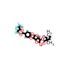 C/C=C\C(C)(CC)C(=O)OC1C(=O)OC2C3OC4(CCC(C(=O)OC(C(F)(F)F)C(F)(F)F)CC4)OC3OC12